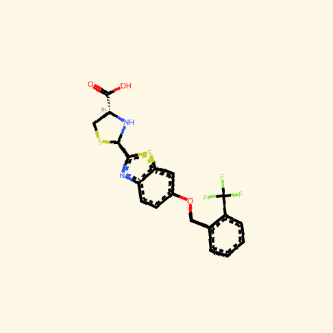 O=C(O)[C@H]1CSC(c2nc3ccc(OCc4ccccc4C(F)(F)F)cc3s2)N1